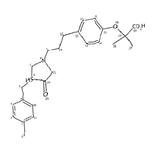 Cc1ccc(C[SH]2CN(CCCc3ccc(OC(C)(C)C(=O)O)cc3)CC2=O)cc1